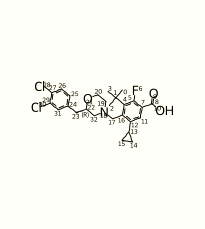 CC(C)(C)c1c(F)c(C(=O)O)cc(C2CC2)c1CN1CCO[C@H](Cc2ccc(Cl)c(Cl)c2)C1